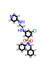 O=S(=O)(c1cc(Cl)cc(NCCNc2ccncc2)c1)N(Cc1ccccc1)c1ccccc1